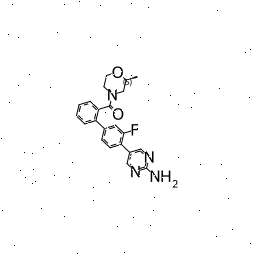 C[C@H]1CN(C(=O)c2ccccc2-c2ccc(-c3cnc(N)nc3)c(F)c2)CCO1